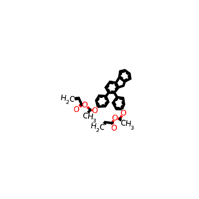 C=CC(=O)OC(C)Oc1ccc(-c2ccc3c(c2-c2ccc(OC(C)OC(=O)C=C)cc2)Cc2ccccc2-3)cc1